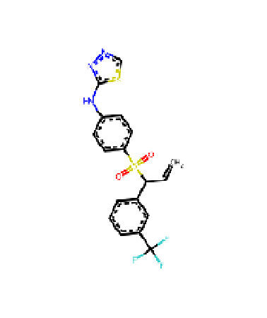 C=CC(c1cccc(C(F)(F)F)c1)S(=O)(=O)c1ccc(Nc2nncs2)cc1